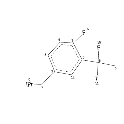 CC(C)Cc1ccc(F)c(C(C)(F)F)c1